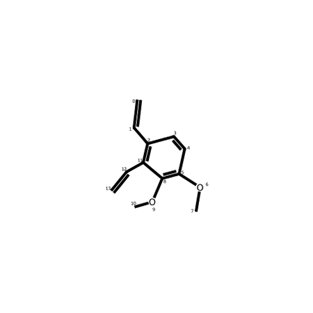 C=Cc1ccc(OC)c(OC)c1C=C